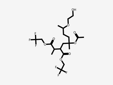 CC(=O)OC(C)(CCC(C)OCCO)CC(C(=O)OCC(F)(F)F)C(C)C(=O)OCC(F)(F)F